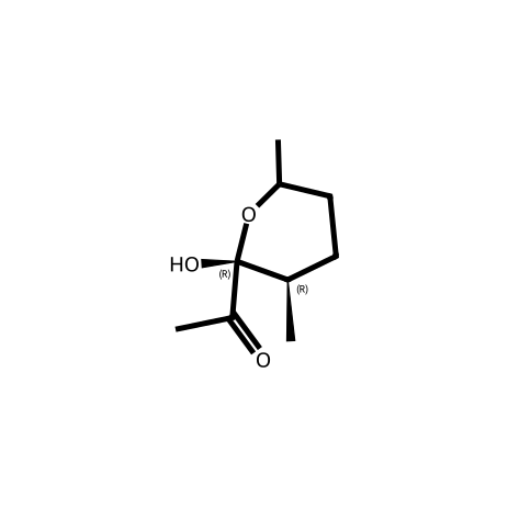 CC(=O)[C@]1(O)OC(C)CC[C@H]1C